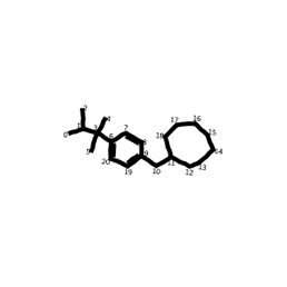 CC(C)C(C)(C)c1ccc(CC2CCCCCCC2)cc1